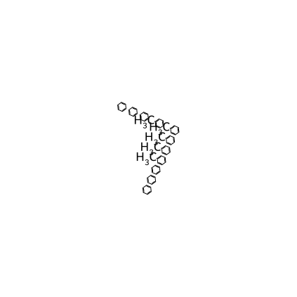 Cc1ccccc1.Cc1ccccc1.Cc1ccccc1.Cc1ccccc1.Cc1ccccc1.c1ccccc1.c1ccccc1.c1ccccc1.c1ccccc1.c1ccccc1.c1ccccc1